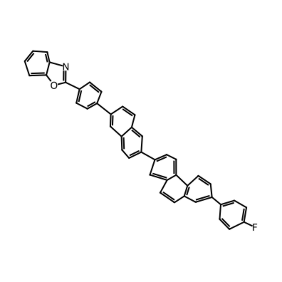 Fc1ccc(-c2ccc3c(ccc4cc(-c5ccc6cc(-c7ccc(-c8nc9ccccc9o8)cc7)ccc6c5)ccc43)c2)cc1